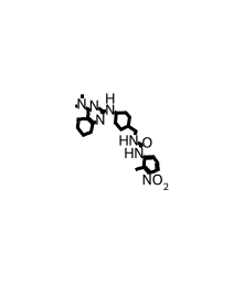 Cc1c(NC(=O)NCC2CCC(Nc3nc4c(c(N(C)C)n3)CCCC4)CC2)cccc1[N+](=O)[O-]